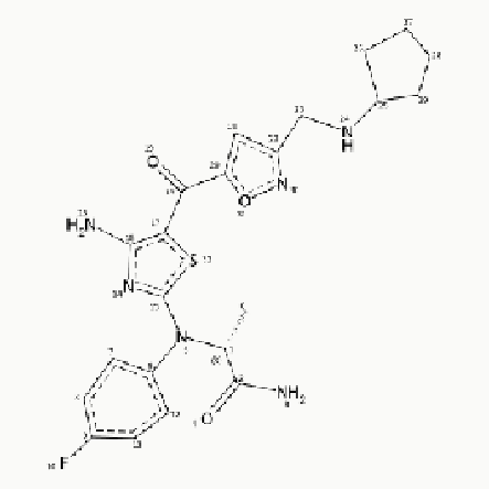 C[C@H](C(N)=O)N(c1ccc(F)cc1)c1nc(N)c(C(=O)c2cc(CNC3CCCC3)no2)s1